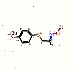 CCON=C(C)CSc1ccc(SC(C)CC)cc1